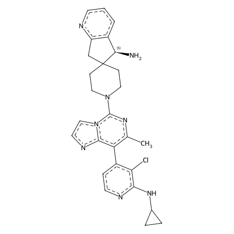 Cc1nc(N2CCC3(CC2)Cc2ncccc2[C@H]3N)n2ccnc2c1-c1ccnc(NC2CC2)c1Cl